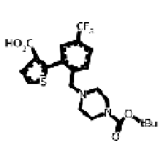 CC(C)(C)OC(=O)N1CCN(Cc2ccc(C(F)(F)F)cc2-c2sccc2C(=O)O)CC1